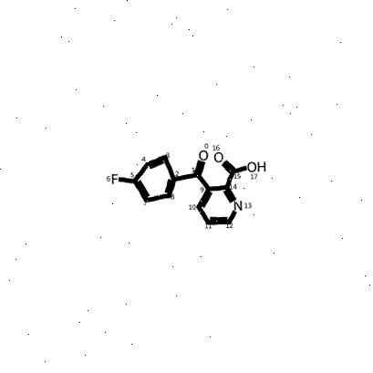 O=C(c1ccc(F)cc1)c1cccnc1C(=O)O